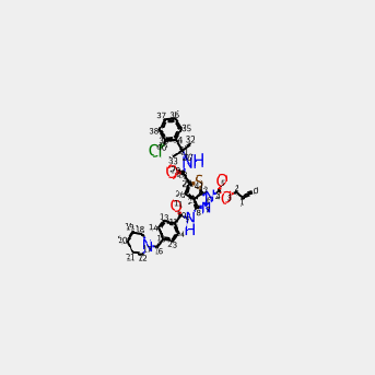 C=CCOC(=O)n1nc(NC(=O)c2ccc(CN3CCCCC3)cc2)c2cc(C(=O)NC(C)(C)c3ccccc3Cl)sc21